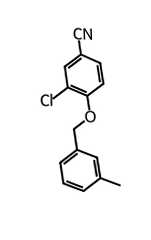 Cc1cccc(COc2ccc(C#N)cc2Cl)c1